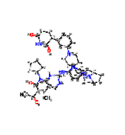 CC(=O)c1c(C)c2cnc(Nc3ccc(N4C5CCC4CN(CC4CCN(c6cccc(C7CCC(=O)NC7=O)c6)CC4)C5)cn3)nc2n(C2CCCC2)c1=O